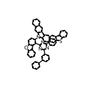 c1ccc(-c2cccc(-c3nc(-c4ccc5c(c4)sc4ccccc45)nc(-c4c(-n5c6cc7ccccc7cc6c6cc7ccccc7cc65)ccc5oc6ccccc6c45)n3)c2)cc1